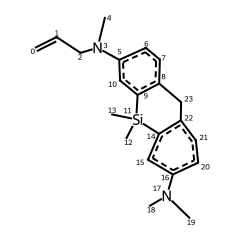 C=CCN(C)c1ccc2c(c1)[Si](C)(C)c1cc(N(C)C)ccc1C2